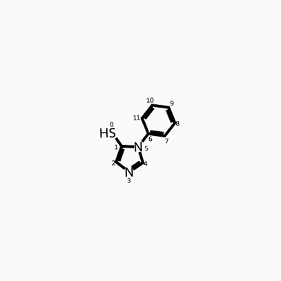 Sc1cncn1-c1ccccc1